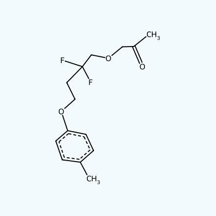 CC(=O)COCC(F)(F)CCOc1ccc(C)cc1